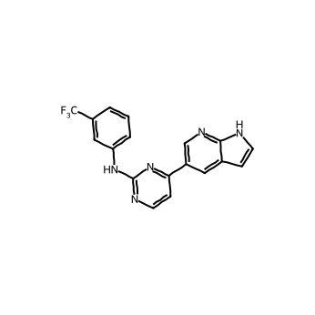 FC(F)(F)c1cccc(Nc2nccc(-c3cnc4[nH]ccc4c3)n2)c1